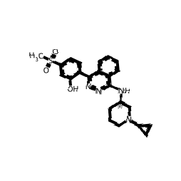 CS(=O)(=O)c1ccc(-c2nnc(N[C@@H]3CCCN(C4CC4)C3)c3ccccc23)c(O)c1